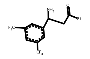 CCC(=O)CC(N)c1cc(C(F)(F)F)cc(C(F)(F)F)c1